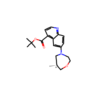 C[C@H]1COCCN(c2ccc3nccc(C(=O)OC(C)(C)C)c3c2)C1